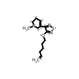 C=CCCCCOc1nsnc1C1=CCCN(C)C1